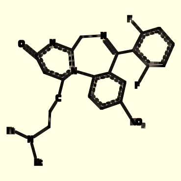 CCN(CC)CCCc1cc(=O)nc2n1-c1ccc([N+](=O)[O-])cc1C(c1c(F)cccc1F)=NC2